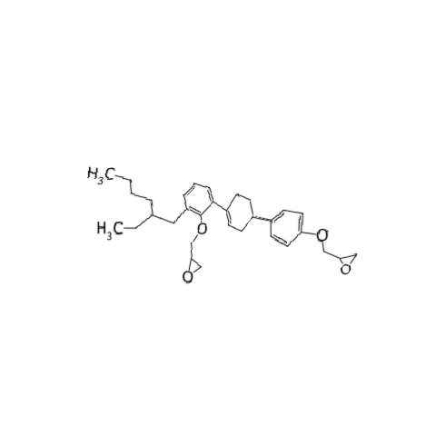 CCCCC(CC)Cc1cccc(C2=CCC(c3ccc(OCC4CO4)cc3)CC2)c1OCC1CO1